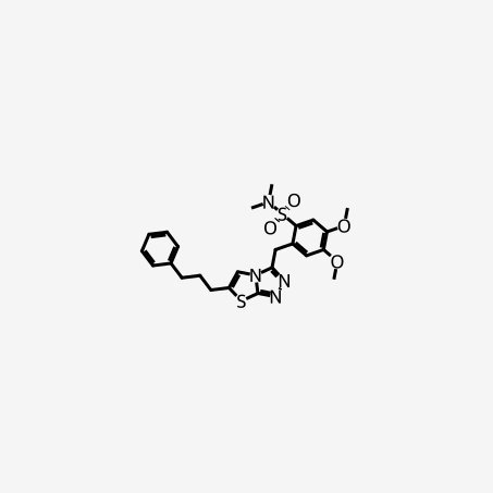 COc1cc(Cc2nnc3sc(CCCc4ccccc4)cn23)c(S(=O)(=O)N(C)C)cc1OC